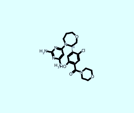 Cc1cc(N2CCCOC[C@@H]2c2cc(O)c(C(=O)N3CCOCC3)cc2Cl)nc(N)n1